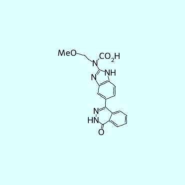 COCCN(C(=O)O)c1nc2cc(-c3n[nH]c(=O)c4ccccc34)ccc2[nH]1